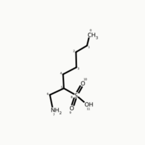 CCCCCC(CN)S(=O)(=O)O